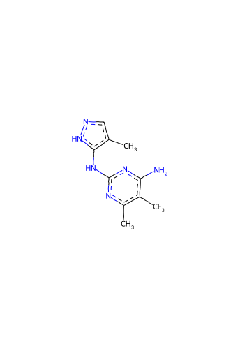 Cc1cn[nH]c1Nc1nc(C)c(C(F)(F)F)c(N)n1